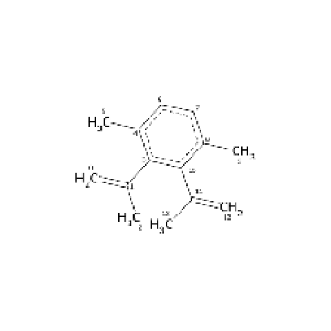 C=C(C)c1c(C)ccc(C)c1C(=C)C